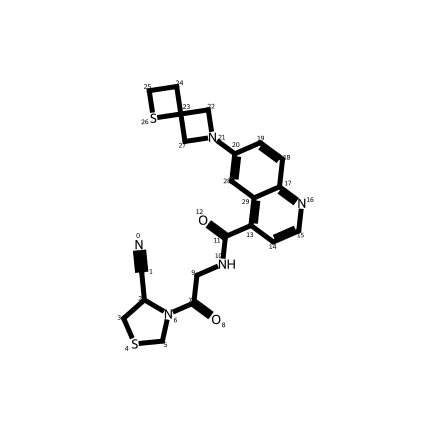 N#CC1CSCN1C(=O)CNC(=O)c1ccnc2ccc(N3CC4(CCS4)C3)cc12